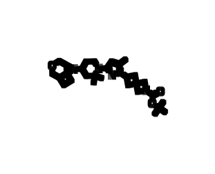 Cc1cc(N2CCC(N3C4COCC5CCC543)CC2(C)C)nn1C1CC2(C1)CN(C(=O)OC(C)(C)C)C2